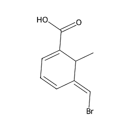 CC1C(=CBr)C=CC=C1C(=O)O